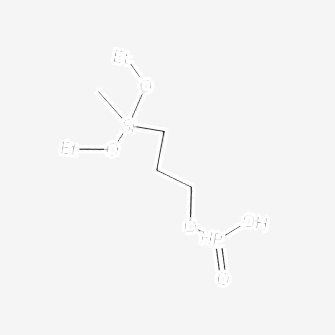 CCO[Si](C)(CCCO[PH](=O)O)OCC